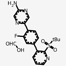 CC(C)(C)S(=O)(=O)c1ncccc1-c1ccc(-c2cnc(N)cn2)c(F)c1.O=CO